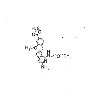 CCOCCNc1nc(N)nc2ccn(Cc3ccc(C(=O)OC)cc3OC)c12